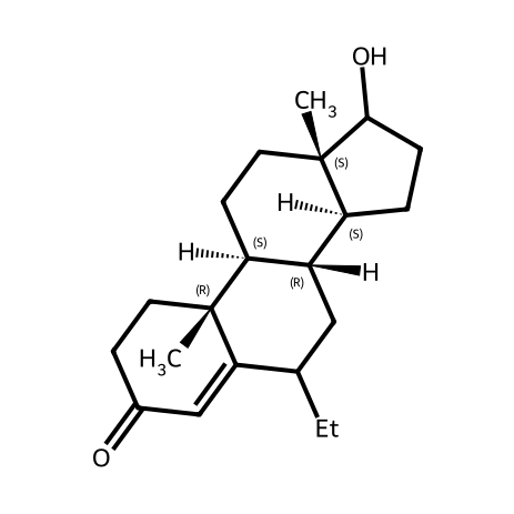 CCC1C[C@@H]2[C@H](CC[C@]3(C)C(O)CC[C@@H]23)[C@@]2(C)CCC(=O)C=C12